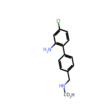 Nc1cc(Cl)ccc1-c1ccc(CNC(=O)O)cc1